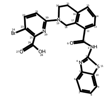 O=C(Nc1nc2ccccc2s1)c1cccc2c1CN(c1ccc(Br)c(C(=O)O)n1)CC2